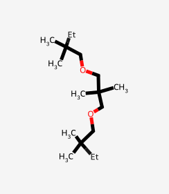 CCC(C)(C)COCC(C)(C)COCC(C)(C)CC